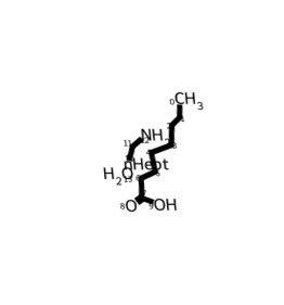 CCCCCCCC(=O)O.CCCCCCCCN.O